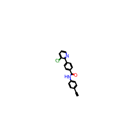 C#Cc1ccc(NC(=O)c2ccc(-c3ncccc3Cl)cc2)cc1